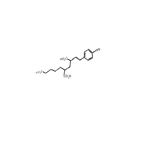 CCCc1ccc(CCC(CC(CCCCC(=O)O)C(=O)O)C(=O)O)cc1